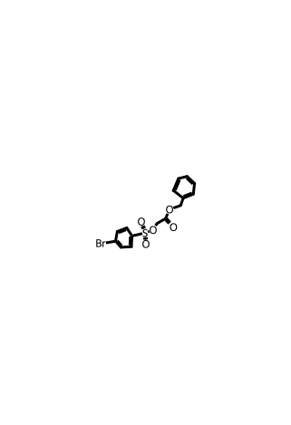 O=C(COS(=O)(=O)c1ccc(Br)cc1)OCc1ccccc1